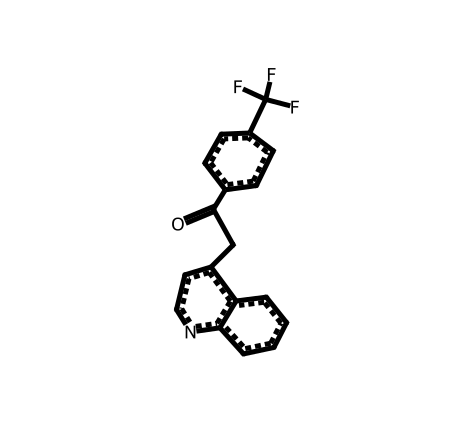 O=C(Cc1ccnc2ccccc12)c1ccc(C(F)(F)F)cc1